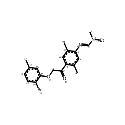 CCN(C)C=Nc1cc(C)c(C(=O)COc2cc(C)ccc2Br)cc1C